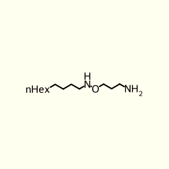 CCCCCCCCCCNOCCCN